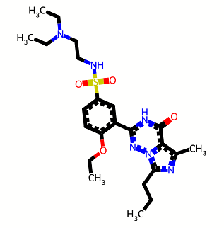 CCCc1nc(C)c2c(=O)[nH]c(-c3cc(S(=O)(=O)NCCN(CC)CC)ccc3OCC)nn12